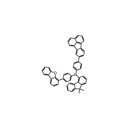 CC1(C)c2ccccc2-c2c(N(c3ccc(-c4ccc5c(c4)-c4cccc6cccc-5c46)cc3)c3ccc(-c4cccc5c4oc4ccccc45)cc3)cccc21